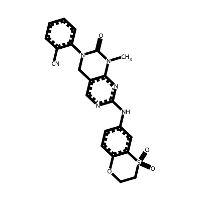 CN1C(=O)N(c2ccccc2C#N)Cc2cnc(Nc3ccc4c(c3)S(=O)(=O)CCO4)nc21